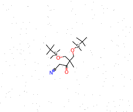 CC(CO[Si](C)(C)C(C)(C)C)(CO[Si](C)(C)C(C)(C)C)C(=O)CC#N